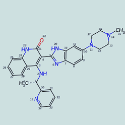 C[C@H](Nc1c(-c2nc3ccc(N4CCN(C)CC4)cc3[nH]2)c(=O)[nH]c2ccccc12)c1ccccn1